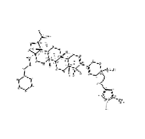 C=C(C)[C@@H]1CC[C@]2(NCCN3CCCCC3)CC[C@]3(C)[C@H](CC[C@@H]4[C@@]5(C)CC=C(C6=CCC(COc7cc(C(F)(F)F)n(C)n7)(C(=O)O)CC6)C(C)(C)[C@@H]5CC[C@]43C)[C@@H]12